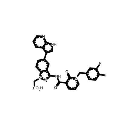 O=C(O)Cn1nc(NC(=O)c2cccn(Cc3ccc(F)c(F)c3)c2=O)c2cc(-c3c[nH]c4ncccc34)ccc21